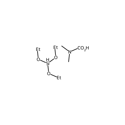 CCO[SiH](OCC)OCC.CN(C)C(=O)O